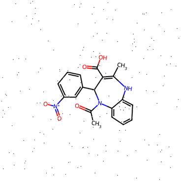 CC(=O)N1c2ccccc2NC(C)=C(C(=O)O)C1c1cccc([N+](=O)[O-])c1